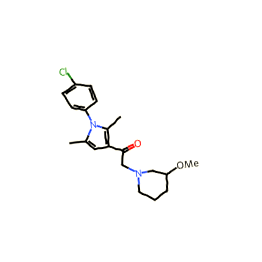 COC1CCCN(CC(=O)c2cc(C)n(-c3ccc(Cl)cc3)c2C)C1